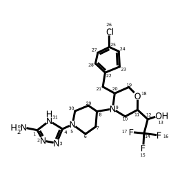 Nc1nnc(N2CCC(N3CC(C(O)C(F)(F)F)OCC3Cc3ccc(Cl)cc3)CC2)[nH]1